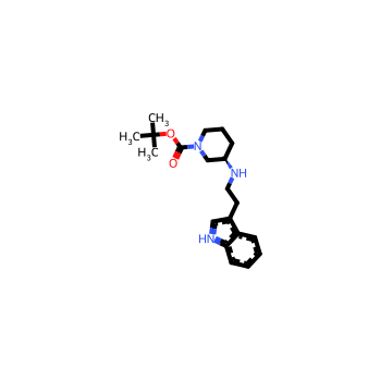 CC(C)(C)OC(=O)N1CCC[C@@H](NCCc2c[nH]c3ccccc23)C1